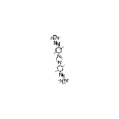 Cc1cc(N2CCN(c3cc(C)c(N=Nc4n(C)cc[n+]4C)cc3C)CC2)c(C)cc1N=Nc1n(C)cc[n+]1C